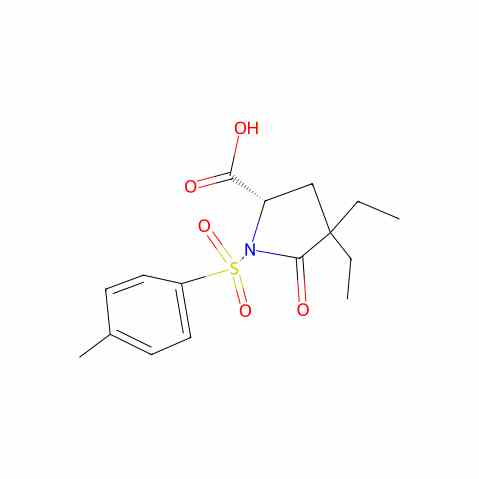 CCC1(CC)C[C@@H](C(=O)O)N(S(=O)(=O)c2ccc(C)cc2)C1=O